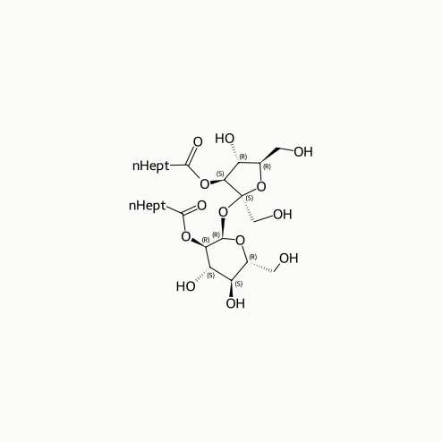 CCCCCCCC(=O)O[C@H]1[C@@H](O[C@]2(CO)O[C@H](CO)[C@@H](O)[C@@H]2OC(=O)CCCCCCC)O[C@H](CO)[C@@H](O)[C@@H]1O